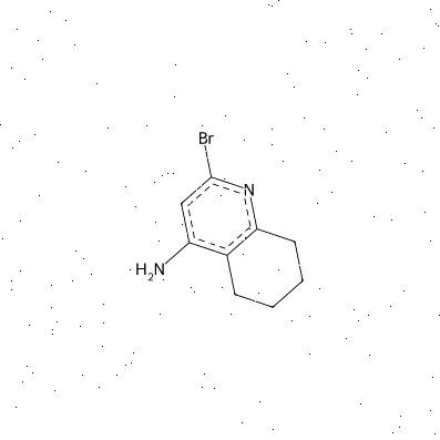 Nc1cc(Br)nc2c1CCCC2